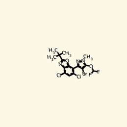 Cn1nc(-c2c(Cl)cc(Cl)c3nc(C(C)(C)C)oc23)c(Br)c1OC(F)F